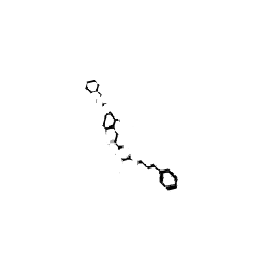 Cc1cc(OC(=O)NCc2ccccc2)cc(C)c1C[C@H](N)C(=O)N[C@H](C)C(=O)NCCCc1ccccc1